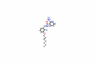 CCCC/C=C/COc1cccc(CNC(=O)c2ccc(F)nc2N)c1F